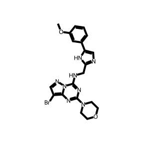 COc1cccc(-c2cnc(CNc3nc(N4CCOCC4)nc4c(Br)cnn34)[nH]2)c1